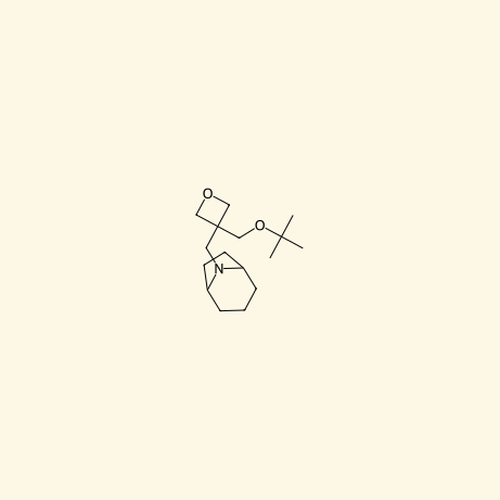 CC(C)(C)OCC1(CN2C3CCCC2CC3)COC1